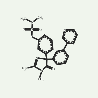 CN1C(=O)C(c2cccc(OS(=O)(=O)N(C)C)c2)(c2cccc(-c3cccnc3)c2)N=C1N